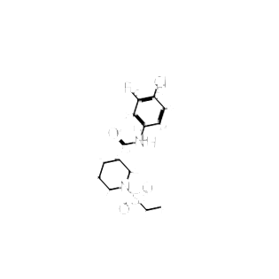 CCS(=O)(=O)N1CCC[C@H](C(=O)Nc2ccc(Cl)c(F)c2)C1